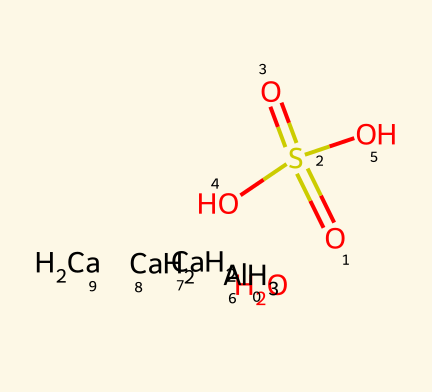 O.O=S(=O)(O)O.[AlH3].[CaH2].[CaH2].[CaH2]